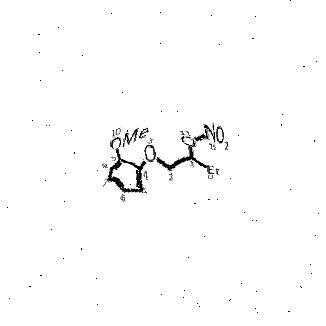 CCC(COc1ccccc1OC)O[N+](=O)[O-]